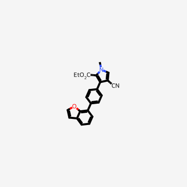 CCOC(=O)c1c(-c2ccc(-c3cccc4ccoc34)cc2)c(C#N)cn1C